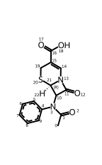 CC(=O)N(c1ccccc1)C1C(=O)N2C=C(C(=O)O)CS[C@H]12